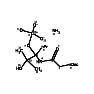 CCCCCCCCCCCC(=O)NC(CCC)(O[Cl+3]([O-])([O-])[O-])C(C)(C)O.N